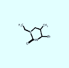 CC(C)C1NC(=O)N(CC(F)(F)F)CC1C